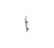 CCCCCC1CCC(c2ccc(C3CCC(C4CCC(c5ccc(CCCC)c(F)c5)CC4)CC3)c(F)c2)CC1